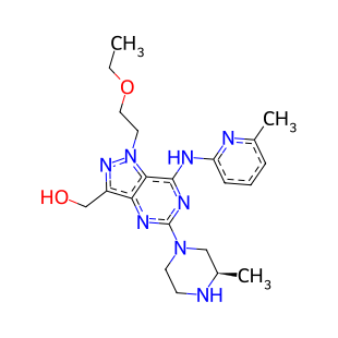 CCOCCn1nc(CO)c2nc(N3CCN[C@H](C)C3)nc(Nc3cccc(C)n3)c21